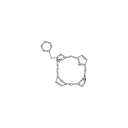 C1=Cc2cc3cc(Cc4ccccc4)c(cc4nc(cc5ccc(cc1n2)[nH]5)C=C4)[nH]3